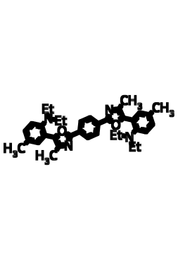 CCN(CC)c1ccc(C)cc1-c1oc(-c2ccc(-c3nc(C)c(-c4cc(C)ccc4N(CC)CC)o3)cc2)nc1C